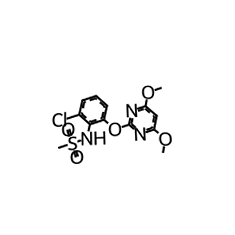 COc1cc(OC)nc(Oc2cccc(Cl)c2NS(C)(=O)=O)n1